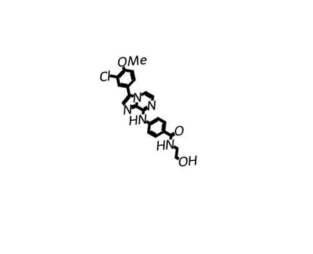 COc1ccc(-c2cnc3c(Nc4ccc(C(=O)NCCO)cc4)nccn23)cc1Cl